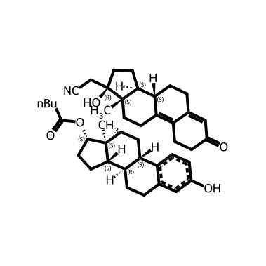 CCCCC(=O)O[C@H]1CC[C@H]2[C@@H]3CCc4cc(O)ccc4[C@H]3CC[C@]12C.C[C@]12CCC3=C4CCC(=O)C=C4CC[C@H]3[C@@H]1CC[C@@]2(O)CC#N